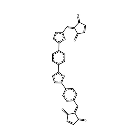 O=C1C=CC(=O)C1=Cc1ccc(-c2ccc(-c3ccc(-c4ccc(C=C5C(=O)C=CC5=O)s4)cc3)s2)cc1